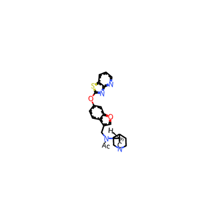 CC(=O)N(Cc1coc2cc(Oc3nc4ncccc4s3)ccc12)[C@H]1CN2CCC1CC2